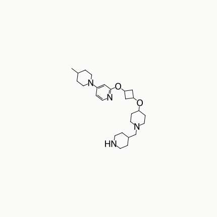 CC1CCN(c2ccnc(OC3CC(OC4CCN(CC5CCNCC5)CC4)C3)c2)CC1